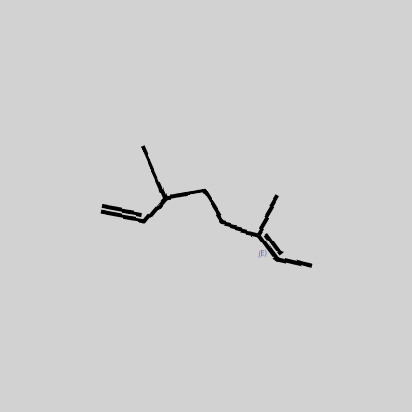 C=CC(C)CC/C(C)=C/C